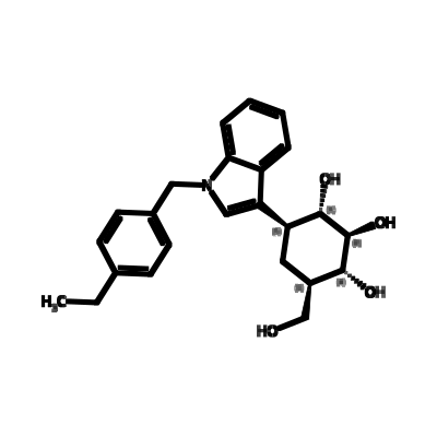 CCc1ccc(Cn2cc([C@@H]3C[C@H](CO)[C@@H](O)[C@H](O)[C@H]3O)c3ccccc32)cc1